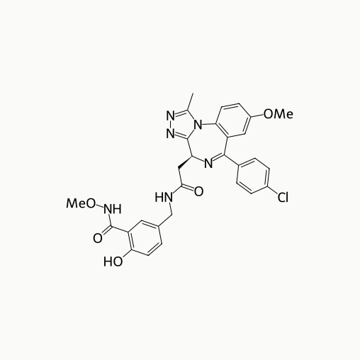 CONC(=O)c1cc(CNC(=O)C[C@@H]2N=C(c3ccc(Cl)cc3)c3cc(OC)ccc3-n3c(C)nnc32)ccc1O